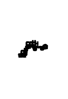 CC(C)(C)OC(=O)N1CC2(CC(C(=O)O)N(C(=O)CNC(=O)CCCOc3ccccc3)C2)C1